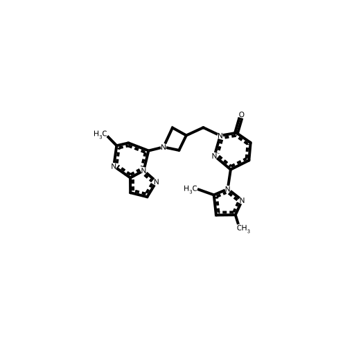 Cc1cc(N2CC(Cn3nc(-n4nc(C)cc4C)ccc3=O)C2)n2nccc2n1